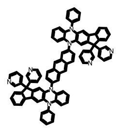 c1ccc(N2c3ccccc3N(c3ccc4cc5cc(N6c7ccccc7N(c7ccccc7)c7cc8c(cc76)C(c6cccnc6)(c6cccnc6)c6ccccc6-8)ccc5cc4c3)c3cc4c(cc32)-c2ccccc2C4(c2cccnc2)c2cccnc2)cc1